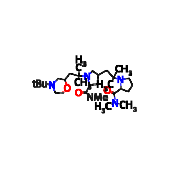 CNC(=O)C1CC(CC(C)(C)N2CCCC2C(=O)N(C)C)CN1C(C)(C)CC1CN(C(C)(C)C)CCO1